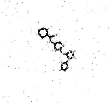 O=C(Nc1cnc(Sc2nnnn2-c2nccs2)s1)c1ccccc1